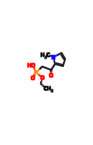 CCOP(=O)(O)CC(=O)c1cccn1C